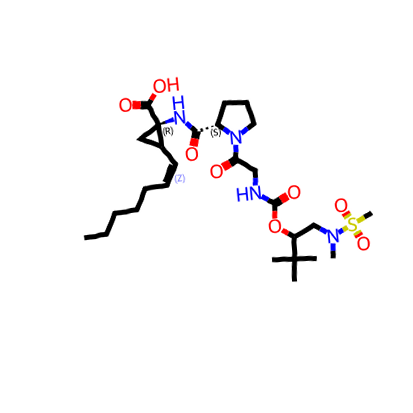 CCCCC/C=C\C1C[C@]1(NC(=O)[C@@H]1CCCN1C(=O)CNC(=O)OC(CN(C)S(C)(=O)=O)C(C)(C)C)C(=O)O